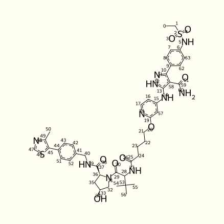 CCS(=O)(=O)Nc1ccc(-c2n[nH]c(Nc3ccnc(OCCCCC(=O)NC(C(=O)N4C[C@@H](O)C[C@H]4C(=O)NCc4ccc(-c5scnc5C)cc4)C(C)(C)C)c3)c2C(N)=O)cc1